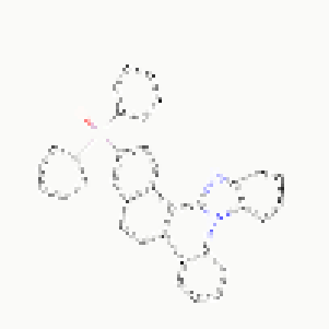 O=P(c1ccccc1)(c1ccccc1)c1ccc2c(ccc3c4ccccc4n4c5ccccc5nc4c23)c1